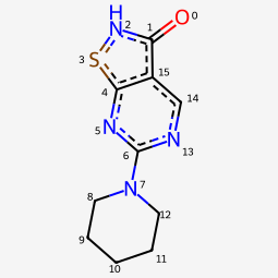 O=c1[nH]sc2nc(N3CCCCC3)ncc12